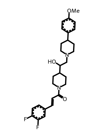 COc1ccc(C2CCN(CC(O)C3CCN(C(=O)C=Cc4ccc(F)c(F)c4)CC3)CC2)cc1